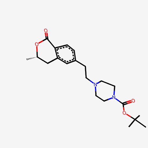 C[C@H]1Cc2cc(CCN3CCN(C(=O)OC(C)(C)C)CC3)ccc2C(=O)O1